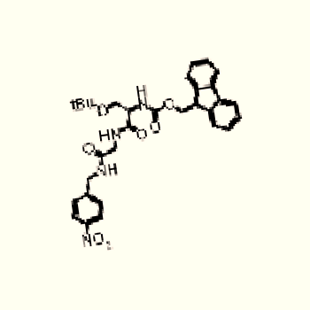 CC(C)(C)OC[C@@H](NC(=O)OCC1c2ccccc2-c2ccccc21)C(=O)NCC(=O)NCc1ccc([N+](=O)[O-])cc1